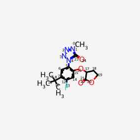 Cn1nnn(-c2cc(C(C)(C)C)c(F)cc2OC2CCOC2=O)c1=O